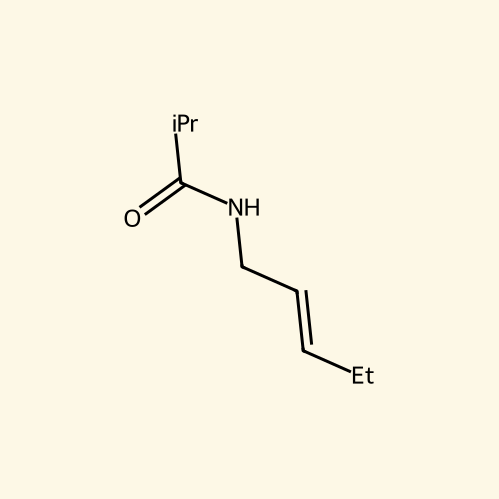 CCC=CCNC(=O)C(C)C